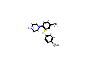 COc1ccc(Sc2cc(C)ccc2N2CCNCC2)cc1